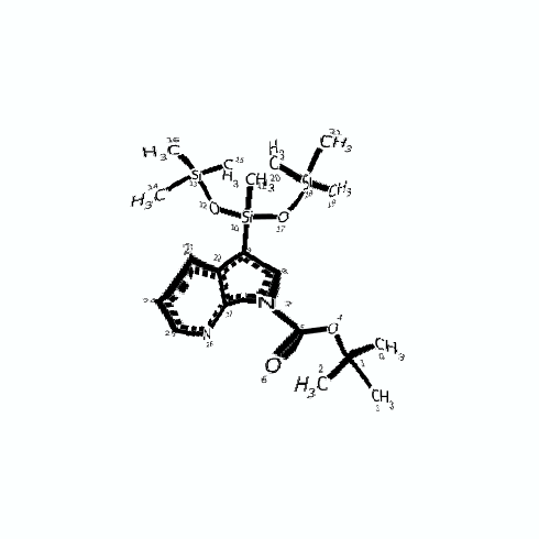 CC(C)(C)OC(=O)n1cc([Si](C)(O[Si](C)(C)C)O[Si](C)(C)C)c2cccnc21